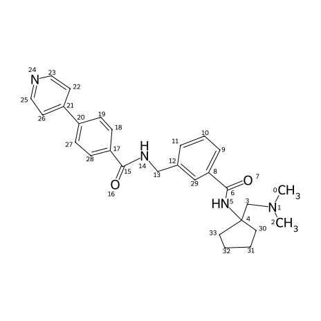 CN(C)CC1(NC(=O)c2cccc(CNC(=O)c3ccc(-c4ccncc4)cc3)c2)CCCC1